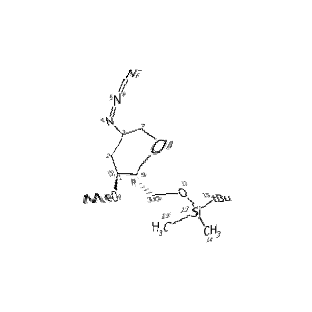 CO[C@H]1CC(N=[N+]=[N-])CO[C@@H]1CO[Si](C)(C)C(C)(C)C